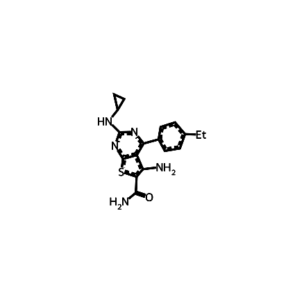 CCc1ccc(-c2nc(NC3CC3)nc3sc(C(N)=O)c(N)c23)cc1